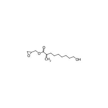 C=C(CCCCCCCO)C(=O)OCC1CO1